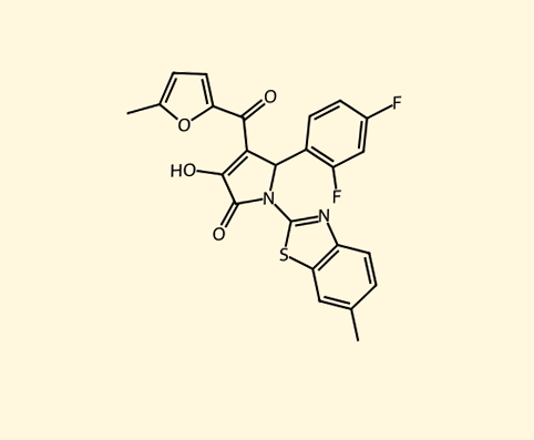 Cc1ccc2nc(N3C(=O)C(O)=C(C(=O)c4ccc(C)o4)C3c3ccc(F)cc3F)sc2c1